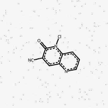 N#Cc1cc2ncccc2n(Cl)c1=O